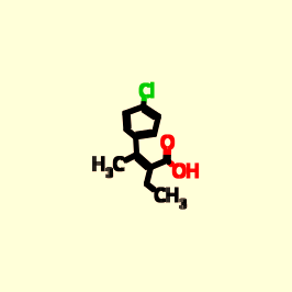 CCC(C(=O)O)=C(C)c1ccc(Cl)cc1